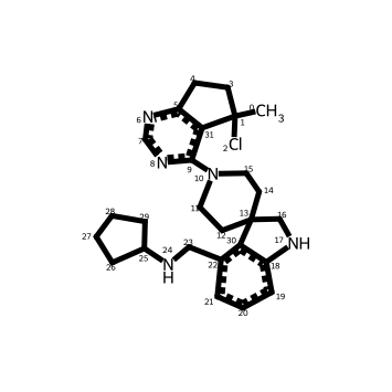 CC1(Cl)CCc2ncnc(N3CCC4(CC3)CNc3cccc(CNC5CCCC5)c34)c21